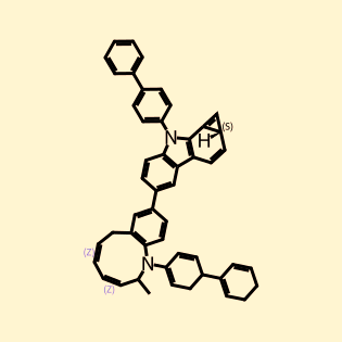 CC1/C=C\C=C/Cc2cc(-c3ccc4c(c3)c3c(n4-c4ccc(-c5ccccc5)cc4)C4=C[C@@H]4C=C3)ccc2N1C1=CCC(C2=CCCC=C2)C=C1